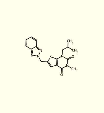 CC(C)Cn1c(=O)n(C)c(=O)c2cc(Cn3nc4ccccc4n3)sc21